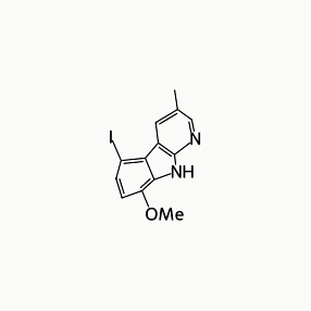 COc1ccc(I)c2c1[nH]c1ncc(C)cc12